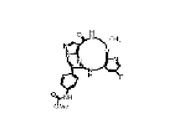 COC(=O)Nc1ccc(-c2cn3ncc4c3nc2NCc2cc(F)cnc2O[C@@H](C)CNC4=O)cc1